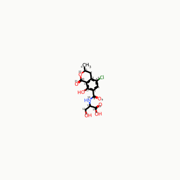 CC1Cc2c(Cl)cc(C(=O)NC(CO)C(=O)O)c(O)c2C(=O)O1